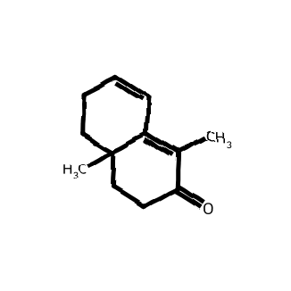 CC1=C2C=CCCC2(C)CCC1=O